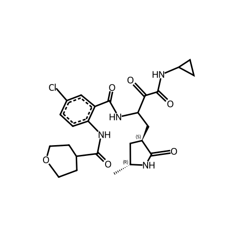 C[C@@H]1C[C@@H](CC(NC(=O)c2cc(Cl)ccc2NC(=O)C2CCOCC2)C(=O)C(=O)NC2CC2)C(=O)N1